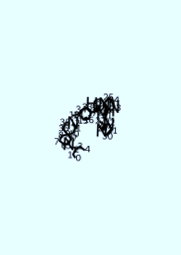 CCC(CC)N1CCCC2(CCN(Cc3ccc(C(=O)N(Cc4ncc[nH]4)Cc4ncc[nH]4)cc3)CC2)C1